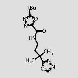 CC(C)(C)c1nnc(C(=O)NCCC(C)(C)c2nnco2)o1